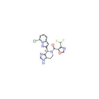 O=C(c1ocnc1C(F)F)N1CCc2[nH]cnc2[C@H]1c1cc2cccc(Cl)n2n1